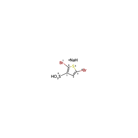 O=S(=O)(O)c1cc(Br)sc1Br.[NaH]